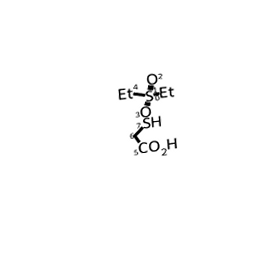 CCS(=O)(=O)CC.O=C(O)CS